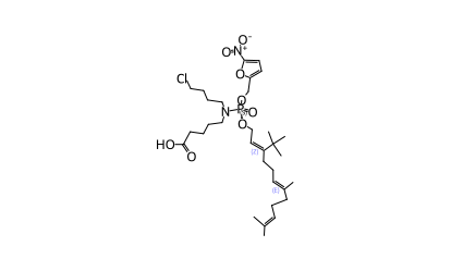 CC(C)=CCC/C(C)=C/CC/C(=C/CO[P@](=O)(OCc1ccc([N+](=O)[O-])o1)N(CCCCCl)CCCCC(=O)O)C(C)(C)C